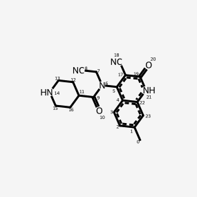 Cc1ccc2c(N(CC#N)C(=O)C3CCNCC3)c(C#N)c(=O)[nH]c2c1